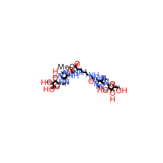 COC(=O)C(CCCCNC(=O)Nc1ncnc2c1ncn2C1OC(CO)C(O)C1O)NC(=O)Nc1ncnc2c1ncn2C1OC(O)C(O)C1O